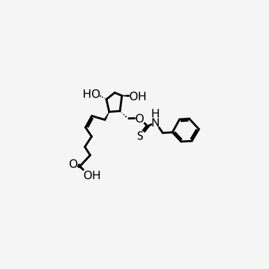 O=C(O)CCC/C=C\C[C@@H]1[C@@H](COC(=S)NCc2ccccc2)[C@H](O)C[C@H]1O